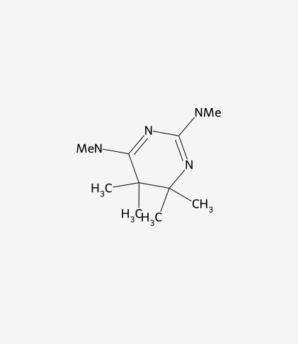 CNC1=NC(C)(C)C(C)(C)C(NC)=N1